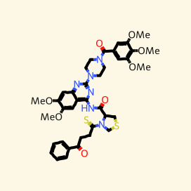 COc1cc2nc(N3CCN(C(=O)c4cc(OC)c(OC)c(OC)c4)CC3)nc(NC(=O)C3CSCN3C(=S)CCC(=O)c3ccccc3)c2cc1OC